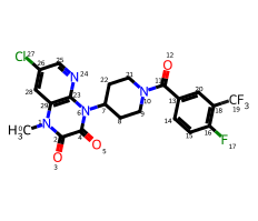 Cn1c(=O)c(=O)n(C2CCN(C(=O)c3ccc(F)c(C(F)(F)F)c3)CC2)c2ncc(Cl)cc21